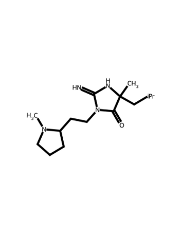 CC(C)CC1(C)NC(=N)N(CCC2CCCN2C)C1=O